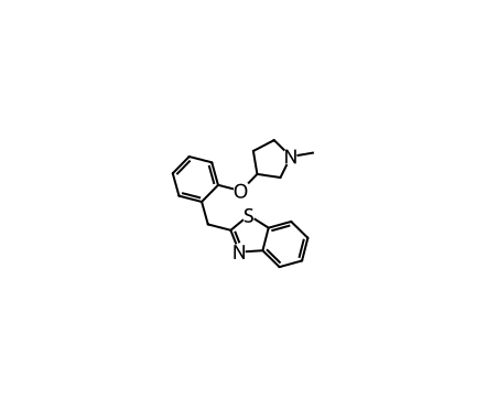 CN1CCC(Oc2ccccc2Cc2nc3ccccc3s2)C1